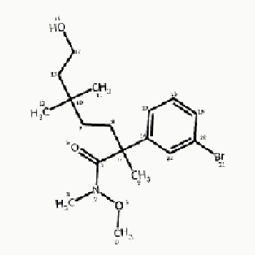 CON(C)C(=O)C(C)(CCC(C)(C)CCO)c1cccc(Br)c1